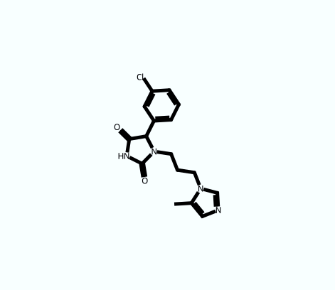 Cc1cncn1CCCN1C(=O)NC(=O)C1c1cccc(Cl)c1